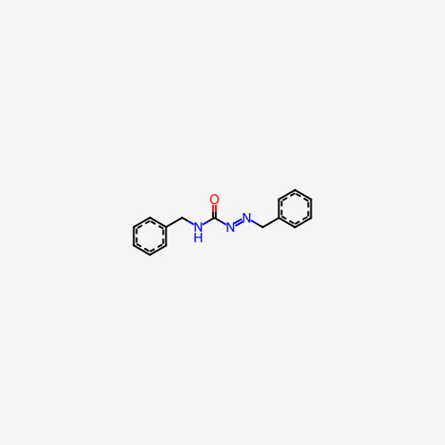 O=C(N=NCc1ccccc1)NCc1ccccc1